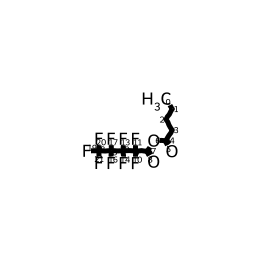 CCCCC(=O)OC(=O)C(F)(F)C(F)(F)C(F)(F)C(F)(F)F